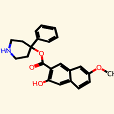 COc1ccc2cc(O)c(C(=O)OC3(c4ccccc4)CCNCC3)cc2c1